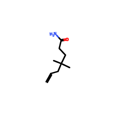 C=CCC(C)(C)CCC(N)=O